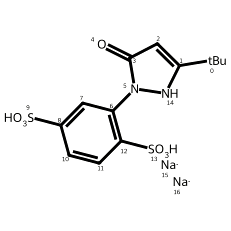 CC(C)(C)c1cc(=O)n(-c2cc(S(=O)(=O)O)ccc2S(=O)(=O)O)[nH]1.[Na].[Na]